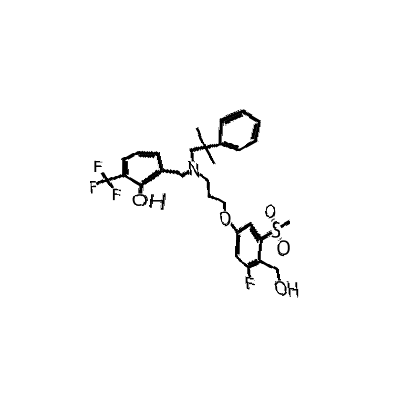 CC(C)(CN(CCCOc1cc(F)c(CO)c(S(C)(=O)=O)c1)Cc1cccc(C(F)(F)F)c1O)c1ccccc1